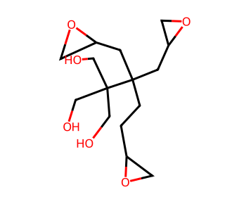 OCC(CO)(CO)C(CCC1CO1)(CC1CO1)CC1CO1